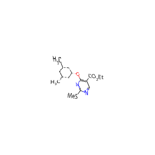 CCOC(=O)c1cnc(SC)nc1OC1CC(C)CC(C)C1